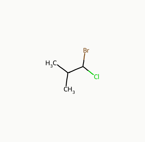 C[C](C)C(Cl)Br